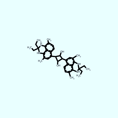 CCC1(CC)Nc2c(C)ccc3c(C4C(O)C(c5cc(C)c6c7c(c(C)ccc57)NC(CC)(CC)N6)C4O)cc(C)c(c23)N1